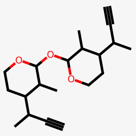 C#CC(C)C1CCOC(OC2OCCC(C(C)C#C)C2C)C1C